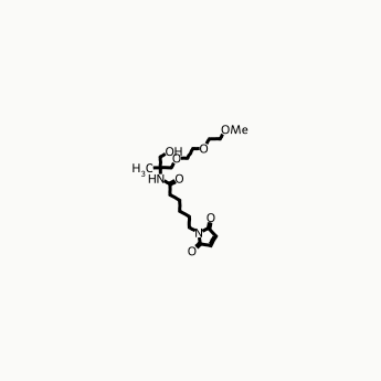 COCCOCCOCC(C)(CO)NC(=O)CCCCCN1C(=O)C=CC1=O